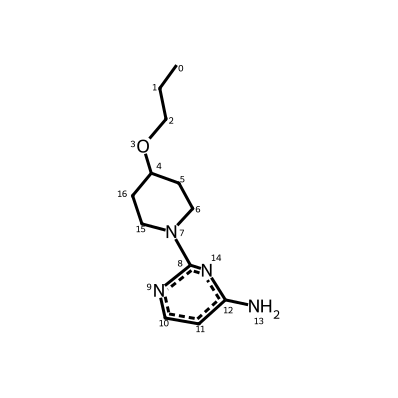 CCCOC1CCN(c2nccc(N)n2)CC1